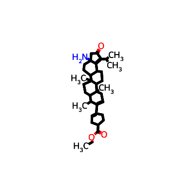 CCOC(=O)C1CC=C(C2=CCC3(C)C(CCC4(C)C5CCC6(N)CC(=O)C(C(C)C)=C6C5CCC34)C2C)CC1